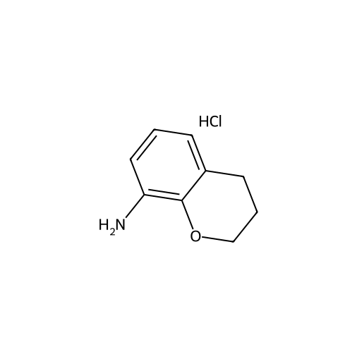 Cl.Nc1cccc2c1OCCC2